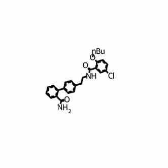 CCCCOc1ccc(Cl)cc1C(=O)NCCc1ccc(-c2ccccc2C(N)=O)cc1